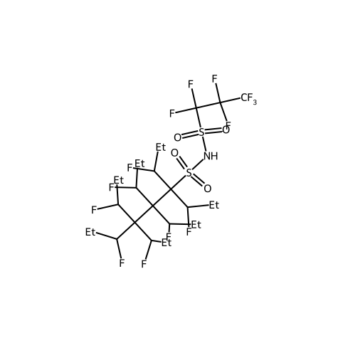 CCC(F)C(C(F)CC)(C(F)CC)C(C(F)CC)(C(F)CC)C(C(F)CC)(C(F)CC)S(=O)(=O)NS(=O)(=O)C(F)(F)C(F)(F)C(F)(F)F